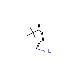 C=C(/C=C\C=C/N)C(C)(C)C